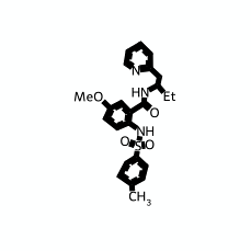 CCC(Cc1ccccn1)NC(=O)c1cc(OC)ccc1NS(=O)(=O)c1ccc(C)cc1